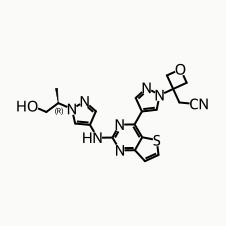 C[C@H](CO)n1cc(Nc2nc(-c3cnn(C4(CC#N)COC4)c3)c3sccc3n2)cn1